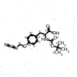 CC(C)(C)OC(=O)NC(Cc1ccc(OCN=[N+]=[N-])cc1)C(=O)O